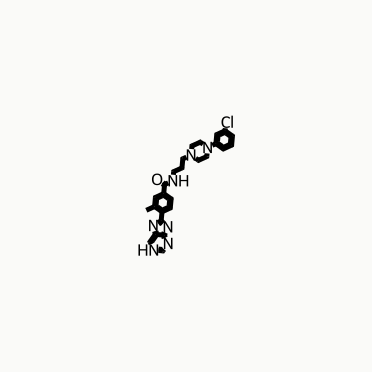 Cc1cc(C(=O)NCCCN2CCN(c3cccc(Cl)c3)CC2)ccc1-c1nc2c[nH]cnc-2n1